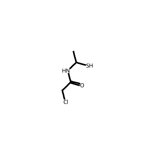 CC(S)NC(=O)CCl